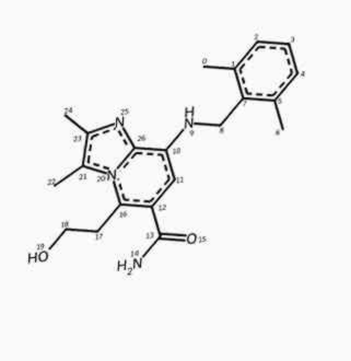 Cc1cccc(C)c1CNc1cc(C(N)=O)c(CCO)n2c(C)c(C)nc12